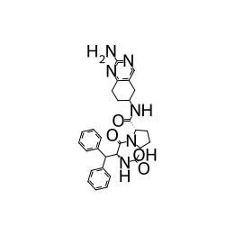 Nc1ncc2c(n1)CCC(NC(=O)[C@@H]1CCCN1C(=O)[C@@H](NC(=O)O)C(c1ccccc1)c1ccccc1)C2